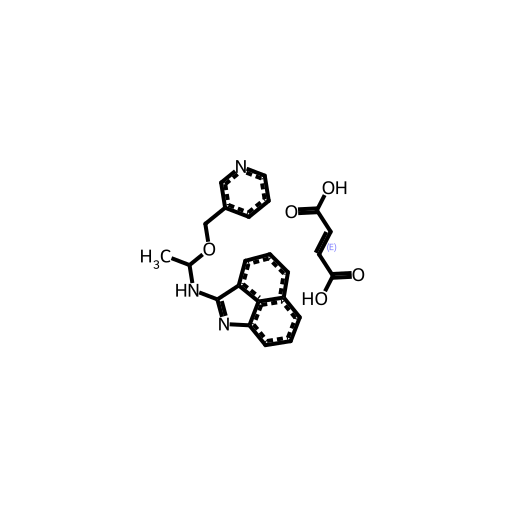 CC(NC1=Nc2cccc3cccc1c23)OCc1cccnc1.O=C(O)/C=C/C(=O)O